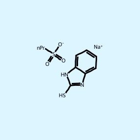 CCCS(=O)(=O)[O-].Sc1nc2ccccc2[nH]1.[Na+]